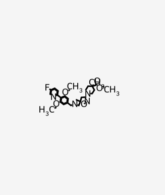 CCOC(=O)C1(C)CCN(C2=NOC3(C2)CN(Cc2cc(OCC)c(-c4ccc(F)cn4)c(OCC)c2)C3)CC1